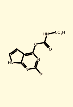 O=C(O)NC(=O)Oc1nc(F)nc2[nH]ccc12